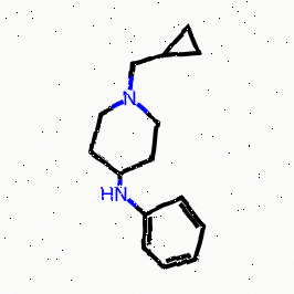 c1ccc(NC2CCN(CC3CC3)CC2)cc1